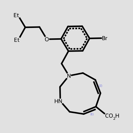 CCC(CC)COc1ccc(Br)cc1CN1C/C=C\C(C(=O)O)=C/CNC1